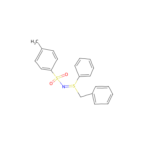 Cc1ccc(S(=O)(=O)N=S(Cc2ccccc2)c2ccccc2)cc1